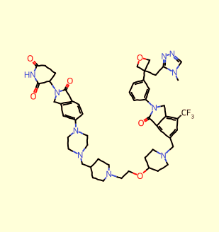 Cn1cnnc1CC1(c2cccc(N3Cc4c(cc(CN5CCC(OCCN6CCC(CN7CCN(c8ccc9c(c8)CN(C8CCC(=O)NC8=O)C9=O)CC7)CC6)CC5)cc4C(F)(F)F)C3=O)c2)COC1